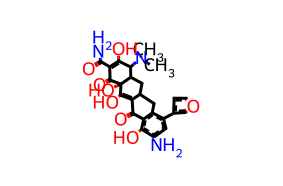 CN(C)C1C(O)=C(C(N)=O)C(=O)C2(O)C(O)=C3C(=O)c4c(O)c(N)cc(-c5ccoc5)c4CC3CC12